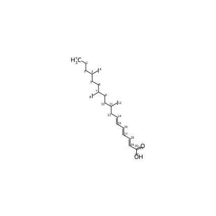 CCCC(I)CCC(I)CCC(I)CC=CC=CC=CC(=O)O